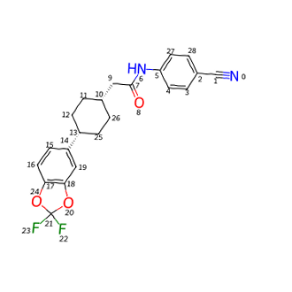 N#Cc1ccc(NC(=O)C[C@H]2CC[C@@H](c3ccc4c(c3)OC(F)(F)O4)CC2)cc1